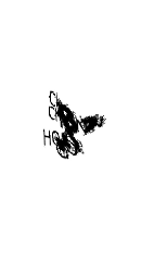 O=C(O)C1CN(c2cc(-n3ccnc3)c3ccc(Cl)c(Cl)c3n2)CCO1